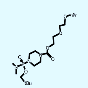 CCCOCCOCCOC(=O)N1CCN(P(=O)(OCC(C)(C)C)N(C)C)CC1